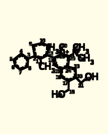 Cc1c(-c2ccccc2)cccc1-c1cc2cc(CO)c(CO)cc2c(N(C)C)[n+]1C